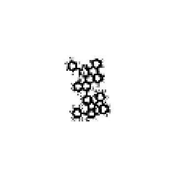 c1ccc(-c2nc(-c3ccccc3-c3ccccc3)cc(-c3ccc(-c4ccc5c(c4)C(c4ccccc4)(c4ccccc4)c4cccc(-c6ccccc6)c4-5)c4ccccc34)n2)cc1